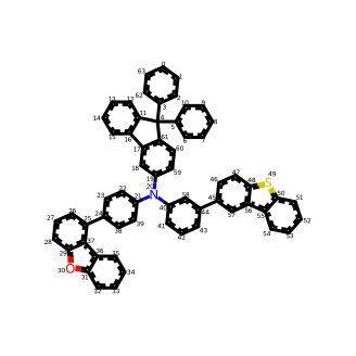 c1ccc(C2(c3ccccc3)c3ccccc3-c3cc(N(c4ccc(-c5cccc6oc7ccccc7c56)cc4)c4cccc(-c5ccc6sc7ccccc7c6c5)c4)ccc32)cc1